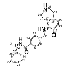 C[C@H](NC(=O)c1ccc(CNc2c(Cl)ccc3c2CCNCC3)cc1)c1ccccc1